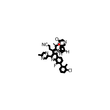 Cc1cnc(-c2nc3c(F)c(-c4cccc(Cl)c4C)ccc3c3c2c(CCC#N)c([C@@H](C)n2ccncc2=O)n3[C@H]2[C@H]3CN[C@@H]2C3)cn1